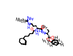 CNC(=N)NCCC[C@H](NC(=O)CCCCC1CCCCC1)C(=O)N[C@@H](CC(C)C)B1O[C@@H]2C[C@@H]3C[C@@H](C3(C)C)[C@]2(C)O1